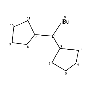 CCC(C)[C](C1CCCC1)C1CCCC1